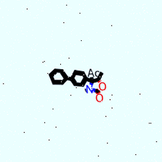 CC(=O)C1(c2ccc(-c3ccccc3)cc2)C(C)OC(=O)N1C